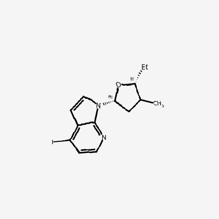 CC[C@H]1O[C@@H](n2ccc3c(I)ccnc32)CC1C